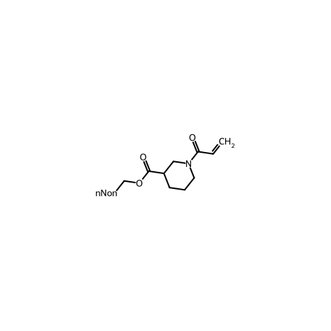 C=CC(=O)N1CCCC(C(=O)OCCCCCCCCCC)C1